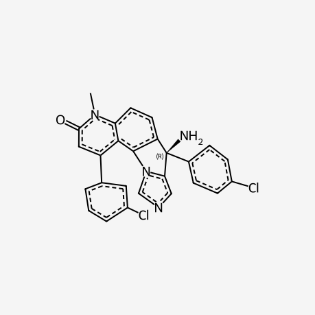 Cn1c(=O)cc(-c2cccc(Cl)c2)c2c3c(ccc21)[C@](N)(c1ccc(Cl)cc1)c1cncn1-3